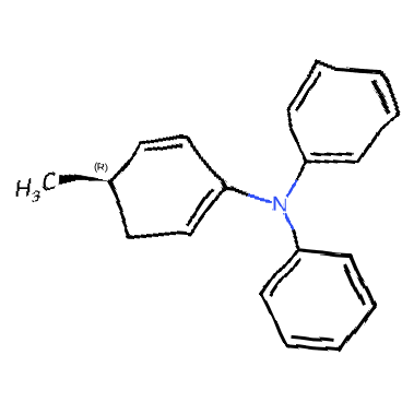 C[C@H]1C=CC(N(c2ccccc2)c2ccccc2)=CC1